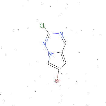 Clc1ncc2cc(Br)cn2n1